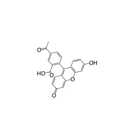 CC(=O)c1ccc(-c2c3ccc(=O)cc-3oc3cc(O)ccc23)c(C(=O)O)c1